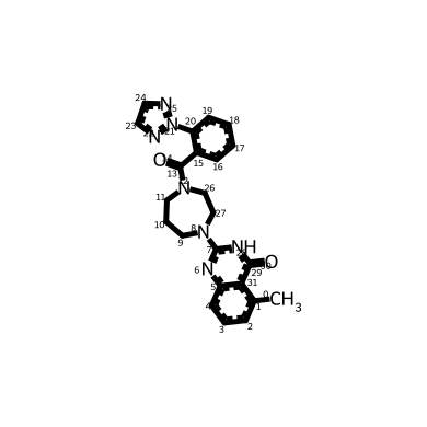 Cc1cccc2nc(N3CCCN(C(=O)c4ccccc4-n4nccn4)CC3)[nH]c(=O)c12